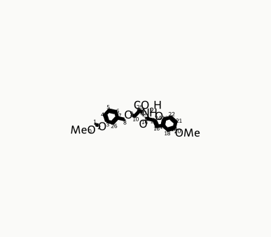 COCOc1cccc(COCC(NC(=O)c2cc3cc(OC)ccc3o2)C(=O)O)c1